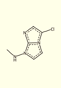 CNn1ccn2c(Cl)cnc12